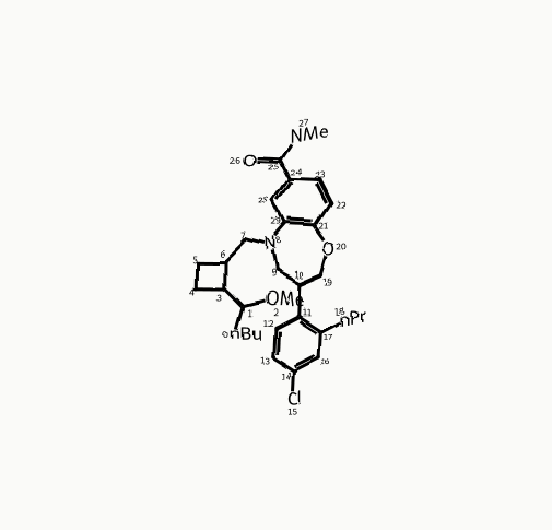 CCCCC(OC)C1CCC1CN1CC(c2ccc(Cl)cc2CCC)COc2ccc(C(=O)NC)cc21